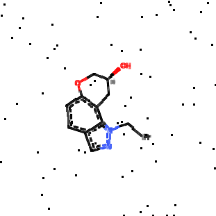 CC(C)Cn1ncc2ccc3c(c21)C[C@H](O)CO3